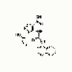 C=C(O)Cn1ncc(C(=O)O)c1NC(=O)Nc1cccc2ccccc12